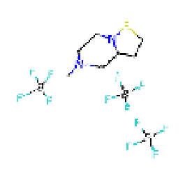 CN1CCN2SCCC2C1.F[B-](F)(F)F.F[B-](F)(F)F.F[B-](F)(F)F